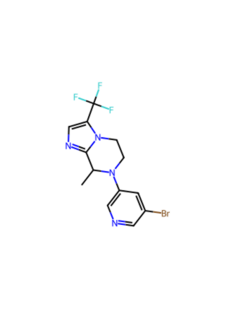 CC1c2ncc(C(F)(F)F)n2CCN1c1cncc(Br)c1